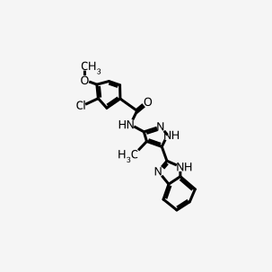 COc1ccc(C(=O)Nc2n[nH]c(-c3nc4ccccc4[nH]3)c2C)cc1Cl